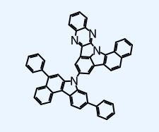 c1ccc(-c2ccc3c4c5ccccc5c(-c5ccccc5)cc4n(-c4cc5c6ccc7ccccc7c6n6c7nc8ccccc8nc7c(c4)c56)c3c2)cc1